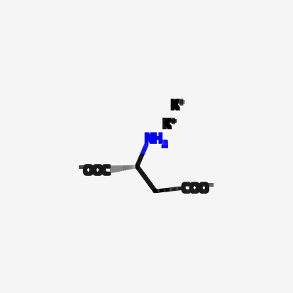 N[C@H](CC(=O)[O-])C(=O)[O-].[K+].[K+]